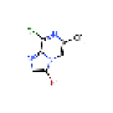 FC(F)(F)c1cn2c(Br)cnc2c(Cl)n1